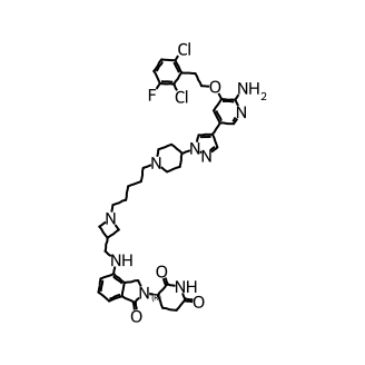 Nc1ncc(-c2cnn(C3CCN(CCCCCN4CC(CNc5cccc6c5CN([C@@H]5CCC(=O)NC5=O)C6=O)C4)CC3)c2)cc1OCCc1c(Cl)ccc(F)c1Cl